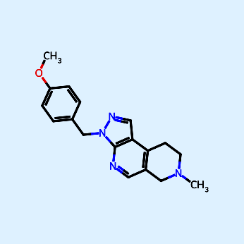 COc1ccc(Cn2ncc3c4c(cnc32)CN(C)CC4)cc1